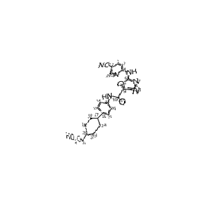 N#Cc1ccc(Nc2nnc(C(=O)Nc3ccc(C4CCC(CC(=O)O)CC4)cc3)o2)nc1